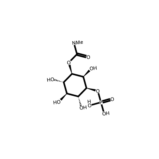 CNC(=O)O[C@H]1[C@@H](O)[C@@H](OP(=O)(O)O)[C@H](O)[C@@H](O)[C@@H]1O